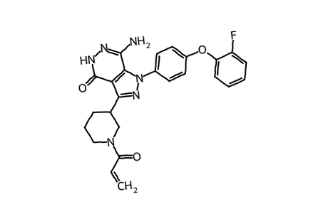 C=CC(=O)N1CCCC(c2nn(-c3ccc(Oc4ccccc4F)cc3)c3c(N)n[nH]c(=O)c23)C1